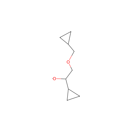 [O]C(COCC1CC1)C1CC1